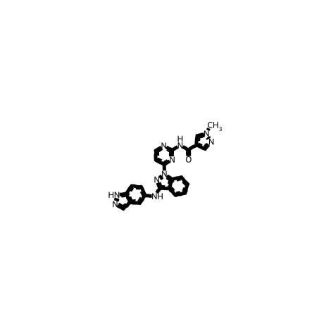 Cn1cc(C(=O)Nc2nccc(-n3nc(Nc4ccc5[nH]ncc5c4)c4ccccc43)n2)cn1